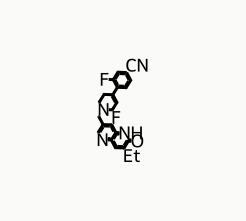 CCc1cc2ncc(CN3CC=C(c4ccc(C#N)cc4F)CC3)c(F)c2[nH]c1=O